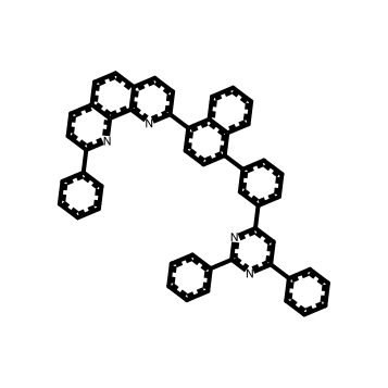 c1ccc(-c2cc(-c3cccc(-c4ccc(-c5ccc6ccc7ccc(-c8ccccc8)nc7c6n5)c5ccccc45)c3)nc(-c3ccccc3)n2)cc1